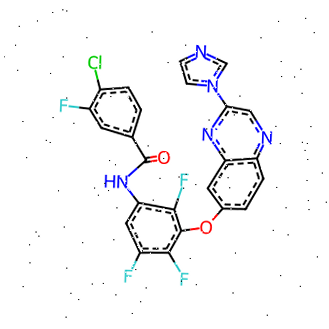 O=C(Nc1cc(F)c(F)c(Oc2ccc3ncc(-n4ccnc4)nc3c2)c1F)c1ccc(Cl)c(F)c1